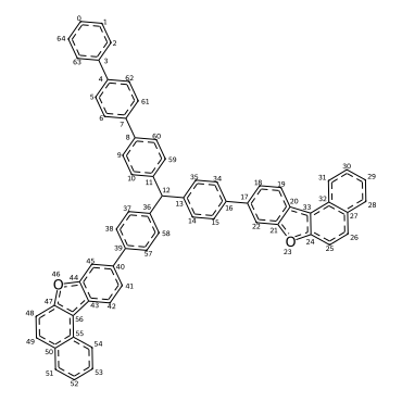 c1ccc(-c2ccc(-c3ccc(C(c4ccc(-c5ccc6c(c5)oc5ccc7ccccc7c56)cc4)c4ccc(-c5ccc6c(c5)oc5ccc7ccccc7c56)cc4)cc3)cc2)cc1